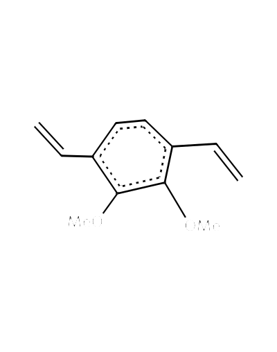 C=Cc1ccc(C=C)c(OC)c1OC